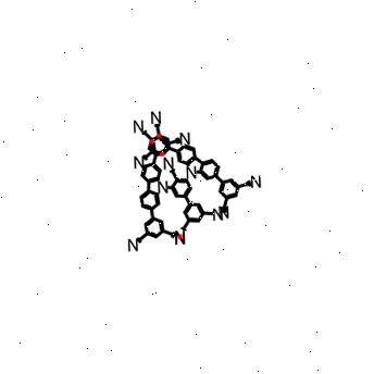 N#Cc1cc(C#N)cc(-c2cc(-n3c4cc(-c5cc(C#N)cc(C#N)c5)ccc4c4ccc(-c5cc(C#N)cc(C#N)c5)cc43)c(C#N)c(-n3c4cc(-c5cc(C#N)cc(C#N)c5)ccc4c4ccc(-c5cc(C#N)cc(C#N)c5)cc43)c2)c1